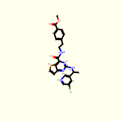 COC(=O)c1ccc(CCNC(=O)c2nc(NC(C)c3cncc(F)c3)nc3ccsc23)cc1